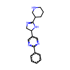 c1ccc(-c2ncc(C3CN=C(C4CCCNC4)N3)cn2)cc1